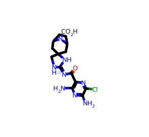 Nc1nc(N)c(C(=O)/N=C2/NCC3(CC4CCC(C3)N4C(=O)O)N2)nc1Cl